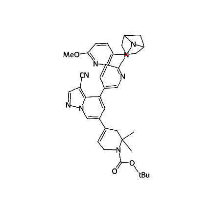 COc1ccc(CN2C3CC2CN(c2ccc(-c4cc(C5=CCN(C(=O)OC(C)(C)C)C(C)(C)C5)cn5ncc(C#N)c45)cn2)C3)cn1